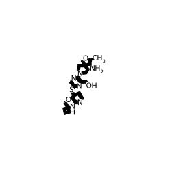 C[C@@H]1OCC2(CCN(c3ncc(Sc4ccnc5c4OCC4(CCC4)N5)nc3CO)CC2)[C@@H]1N